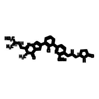 COc1nc(-c2cccc(-c3cc4c(=O)n(C)c(CN[C@@H](C)C(=O)O)nn4c3)c2Cl)ccc1CNC[C@H]1CCC(=O)N1